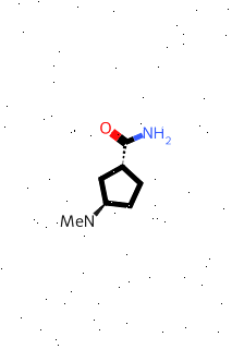 CN[C@@H]1CC[C@@H](C(N)=O)C1